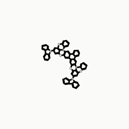 c1ccc2c(c1)Oc1cc(-n3c4ccccc4c4ccccc43)cc3c1B2c1cc2c4ccccc4c4cc5c(cc4c2cc1O3)Oc1cc(-n2c3ccccc3c3ccccc32)cc2c1B5c1ccccc1O2